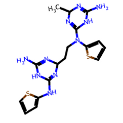 CC1N=C(N)NC(N(CCC2N=C(N)NC(Nc3cccs3)=N2)c2cccs2)=N1